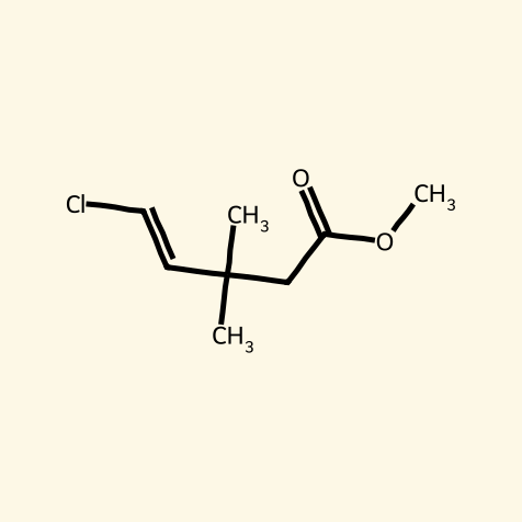 COC(=O)CC(C)(C)C=CCl